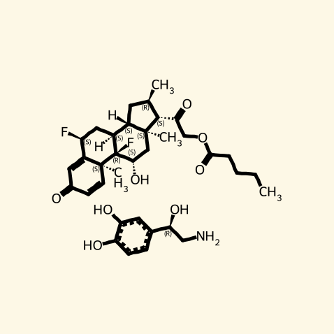 CCCCC(=O)OCC(=O)[C@H]1[C@H](C)C[C@H]2[C@@H]3C[C@H](F)C4=CC(=O)C=C[C@]4(C)[C@@]3(F)[C@@H](O)C[C@@]21C.NC[C@H](O)c1ccc(O)c(O)c1